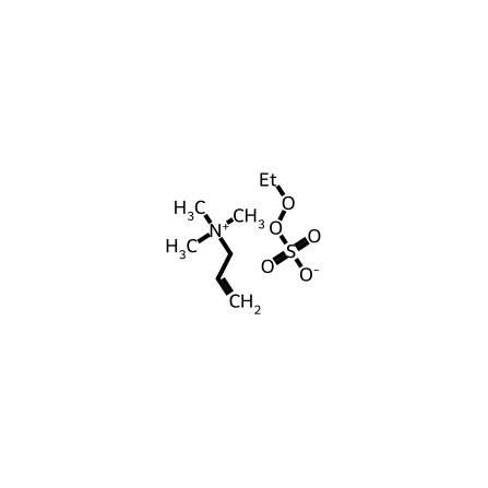 C=CC[N+](C)(C)C.CCOOS(=O)(=O)[O-]